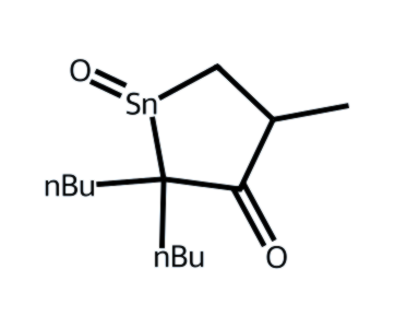 CCCC[C]1(CCCC)C(=O)C(C)[CH2][Sn]1=[O]